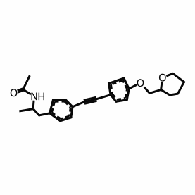 CC(=O)NC(C)Cc1ccc(C#Cc2ccc(OCC3CCCCO3)cc2)cc1